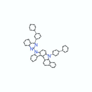 c1ccc(-c2ccc(-n3c4ccc5c(c6ccccc6n5-c5nc(-c6cccc(-c7ccccc7)c6)c6ccccc6n5)c4c4ccc5ccccc5c43)cc2)cc1